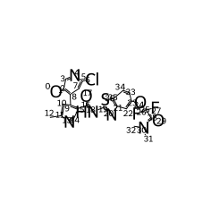 COc1cnc(Cl)cc1-c1cc(C)ncc1C(=O)Nc1nc2cc(OC(F)(F)C(=O)N(C)C)ccc2s1